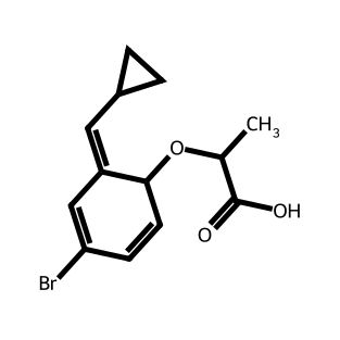 CC(OC1C=CC(Br)=CC1=CC1CC1)C(=O)O